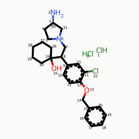 Cl.Cl.N[C@@H]1CCN(CC(c2ccc(OCc3ccccc3)c(Cl)c2)C2(O)CCCCC2)C1